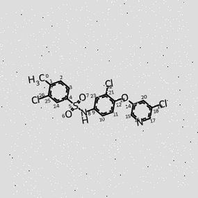 Cc1ccc(S(=O)(=O)Nc2ccc(Oc3cncc(Cl)c3)c(Cl)c2)cc1Cl